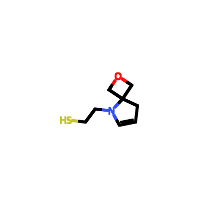 SCCN1C=CCC12COC2